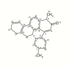 Cc1ccc(C2=CC(=O)C(C)c3ccc4c(c32)CCC2=C4C=CCC2)cc1